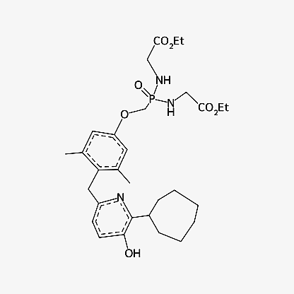 CCOC(=O)CNP(=O)(COc1cc(C)c(Cc2ccc(O)c(C3CCCCCC3)n2)c(C)c1)NCC(=O)OCC